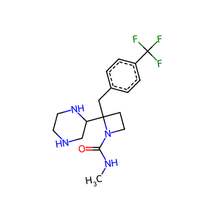 CNC(=O)N1CCC1(Cc1ccc(C(F)(F)F)cc1)C1CNCCN1